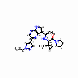 C=C(N[C@@H](C(=O)N1CCCC1)C1(C)CC1)c1c[nH]c2ncc(-c3cnn(CC)c3)nc12